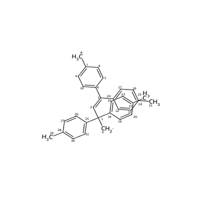 [CH2]C(C=C(c1ccc(C)cc1)c1ccc(C)cc1)(c1ccc(C)cc1)c1ccc(C)cc1